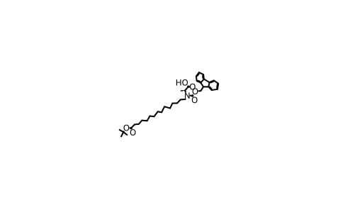 C[C@@H](C(=O)O)N(CCCCCCCCCCCCCCC(=O)OC(C)(C)C)C(=O)OCC1c2ccccc2-c2ccccc21